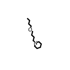 CCCCOCCCCN1CCCCC1